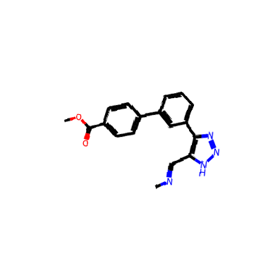 C/N=C/c1[nH]nnc1-c1cccc(-c2ccc(C(=O)OC)cc2)c1